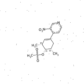 C[C@@H]1C=C(c2ccncc2[N+](=O)[O-])C[C@H](C)[C@@H]1OS(C)(=O)=O